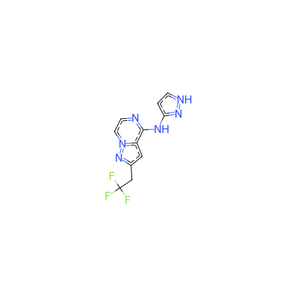 FC(F)(F)Cc1cc2c(Nc3cc[nH]n3)nccn2n1